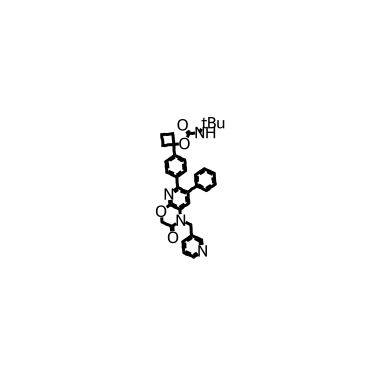 CC(C)(C)NC(=O)OC1(c2ccc(-c3nc4c(cc3-c3ccccc3)N(Cc3cccnc3)C(=O)CO4)cc2)CCC1